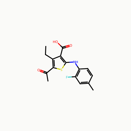 CCc1c(C(C)=O)sc(Nc2ccc(C)cc2F)c1C(=O)O